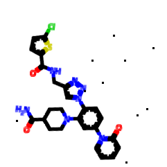 NC(=O)C1CCN(c2cc(-n3ccccc3=O)ccc2-n2cc(CNC(=O)c3ccc(Cl)s3)nn2)CC1